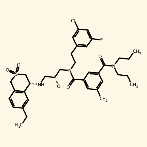 CCCN(CCC)C(=O)c1cc(C)cc(C(=O)N(CCc2cc(F)cc(Cl)c2)C[C@H](O)CN[C@H]2CS(=O)(=O)Cc3ccc(CC)cc32)c1